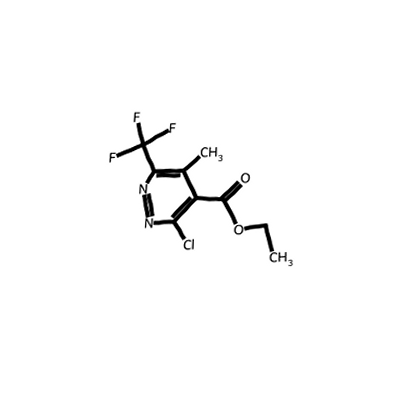 CCOC(=O)c1c(Cl)nnc(C(F)(F)F)c1C